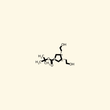 CC(C)(C)OC(=O)N1C[C@@H](CCO)[C@@H](CCO)C1